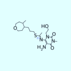 C/C(=N\c1c(N)c(=O)n(C)c(=O)n1CCO)SCCCC1CCOCCC1C